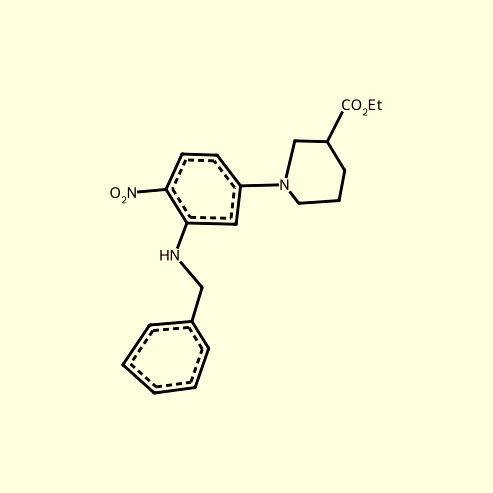 CCOC(=O)C1CCCN(c2ccc([N+](=O)[O-])c(NCc3ccccc3)c2)C1